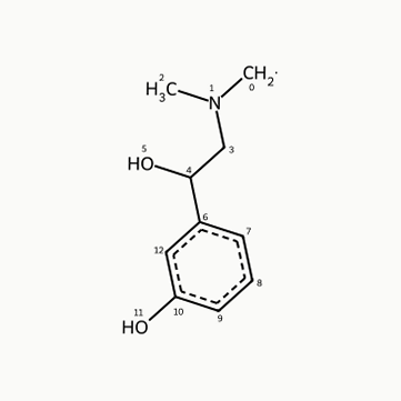 [CH2]N(C)CC(O)c1cccc(O)c1